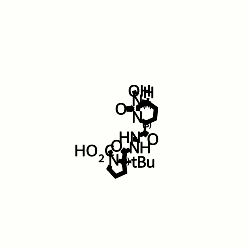 CC(C)(C)[C@@]1(C(=O)NNC(=O)[C@@H]2CC[C@@H]3CN2C(=O)N3O)CCCN1C(=O)O